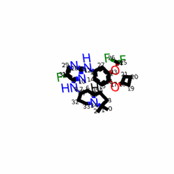 CC1(C)CC[C@H]2C[C@@H](Nc3nc(Nc4ccc(OC5CCC5)c(OC(F)F)c4)ncc3F)CCN21